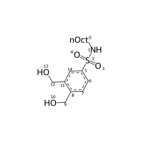 CCCCCCCCNS(=O)(=O)c1ccc(CO)c(CO)c1